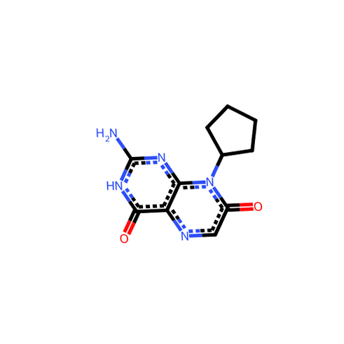 Nc1nc2c(ncc(=O)n2C2CCCC2)c(=O)[nH]1